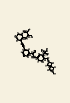 Cc1nc2cncc(C#Cc3cncc(C(=O)Nc4ccc(CN5CC6(CN(C)C6)C5)c(C(F)(F)F)c4)c3)c2nc1C